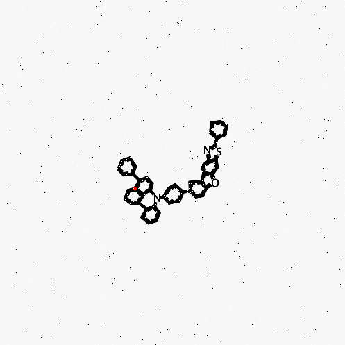 c1ccc(-c2ccc(N(c3ccc(-c4ccc5oc6cc7sc(-c8ccccc8)nc7cc6c5c4)cc3)c3ccccc3-c3ccccc3)cc2)cc1